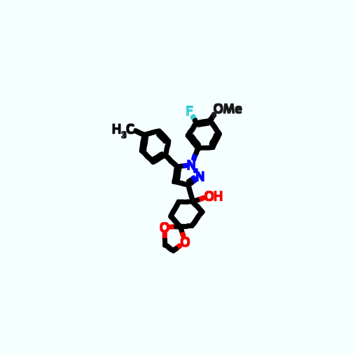 COc1ccc(-n2nc(C3(O)CCC4(CC3)OCCO4)cc2-c2ccc(C)cc2)cc1F